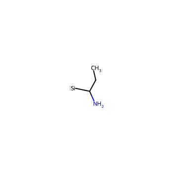 CCC(N)[Si]